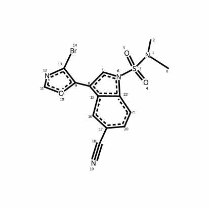 CN(C)S(=O)(=O)n1cc(-c2ocnc2Br)c2cc(C#N)ccc21